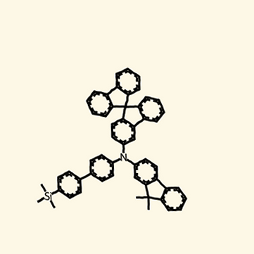 CC1(C)c2ccccc2-c2ccc(N(c3ccc(-c4ccc([Si](C)(C)C)cc4)cc3)c3ccc4c(c3)-c3ccccc3C43c4ccccc4-c4ccccc43)cc21